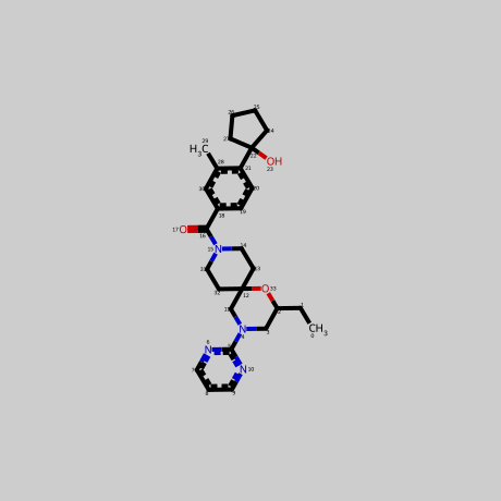 CCC1CN(c2ncccn2)CC2(CCN(C(=O)c3ccc(C4(O)CCCC4)c(C)c3)CC2)O1